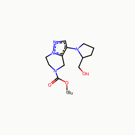 CC(C)(C)OC(=O)N1CCn2ncc(N3CCCC3CO)c2C1